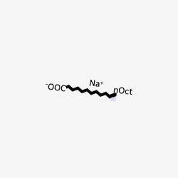 CCCCCCCC/C=C\CCCCCCCCCC(=O)[O-].[Na+]